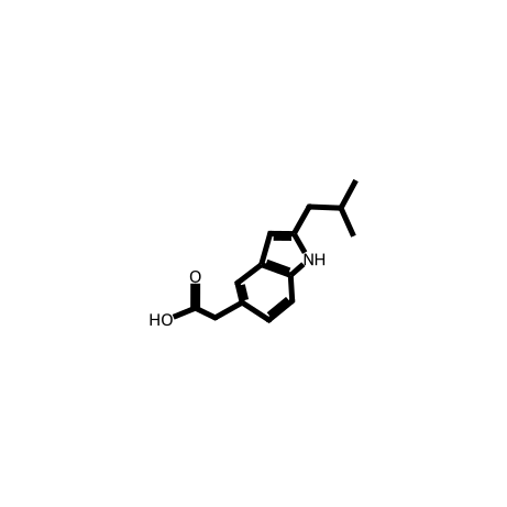 CC(C)Cc1cc2cc(CC(=O)O)ccc2[nH]1